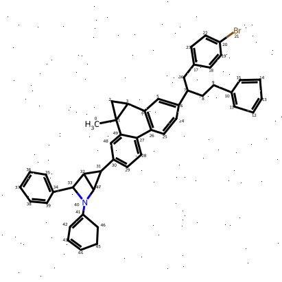 CC12CC1c1cc(C(CCc3ccccc3)Cc3ccc(Br)cc3)ccc1-c1ccc(C3C4C(c5ccccc5)N(C5=CC=CCC5)C34)cc12